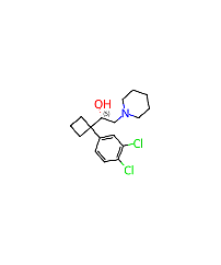 O[C@H](CN1CCCCC1)C1(c2ccc(Cl)c(Cl)c2)CCC1